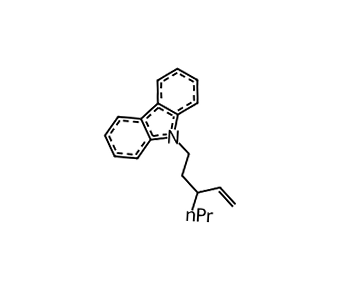 C=CC(CCC)CCn1c2ccccc2c2ccccc21